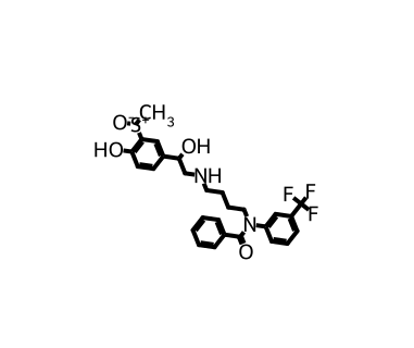 C[S+]([O-])c1cc(C(O)CNCCCCN(C(=O)c2ccccc2)c2cccc(C(F)(F)F)c2)ccc1O